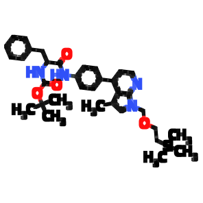 Cc1cn(COCC[Si](C)(C)C)c2nccc(-c3ccc(NC(=O)C(Cc4ccccc4)NC(=O)OC(C)(C)C)cc3)c12